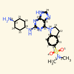 CN(C)S(=O)(=O)c1ccc2c(c1)CCN2c1nc(N[C@H]2CC[C@H](N)CC2)nc2[nH]cnc12